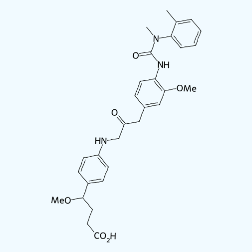 COc1cc(CC(=O)CNc2ccc(C(CCC(=O)O)OC)cc2)ccc1NC(=O)N(C)c1ccccc1C